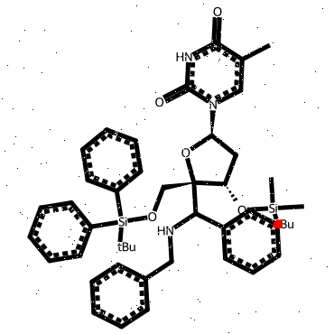 Cc1cn([C@H]2C[C@H](O[Si](C)(C)C(C)(C)C)[C@](CO[Si](c3ccccc3)(c3ccccc3)C(C)(C)C)(C(NCc3ccccc3)c3ccccc3)O2)c(=O)[nH]c1=O